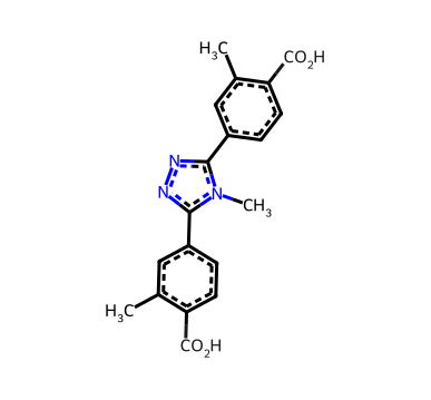 Cc1cc(-c2nnc(-c3ccc(C(=O)O)c(C)c3)n2C)ccc1C(=O)O